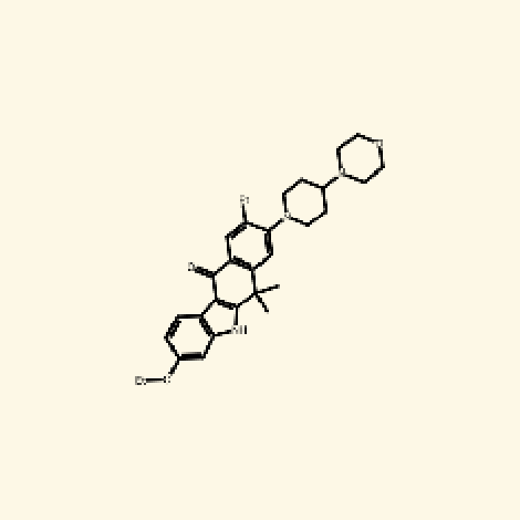 CCOc1ccc2c3c([nH]c2c1)C(C)(C)c1cc(N2CCC(N4CCOCC4)CC2)c(CC)cc1C3=O